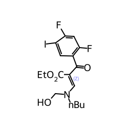 CCCCN(/C=C(\C(=O)OCC)C(=O)c1cc(I)c(F)cc1F)CO